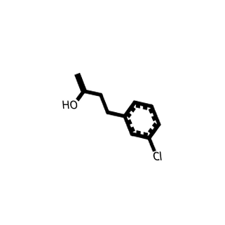 C=C(O)CCc1cccc(Cl)c1